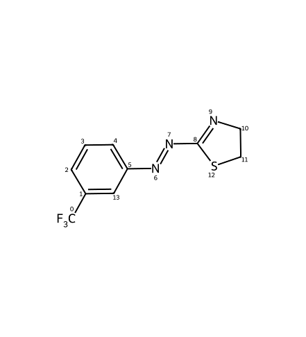 FC(F)(F)c1cccc(/N=N/C2=NCCS2)c1